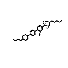 CCCCCC1COC(c2ccc(-c3ccc(C4CCC(CCCC)CC4)cc3)c(F)c2)OC1